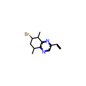 C=Cc1cnc2c(n1)C(C)C(Br)CC2C